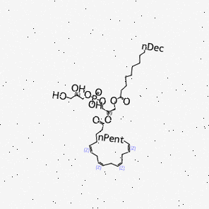 CCCCC/C=C\C/C=C\C/C=C\C/C=C\CCCC(=O)O[C@H](COC(=O)CCCCCCCCCCCCCCCCCC)COP(=O)(O)OC[C@@H](O)CO